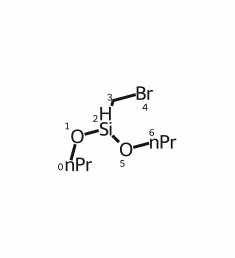 CCCO[SiH](CBr)OCCC